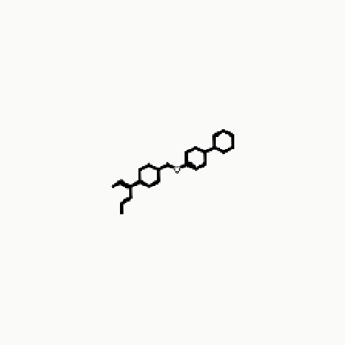 C/C=C(\CCC)C1CCC(COC2=CCC(C3CCCCC3)CC2)CC1